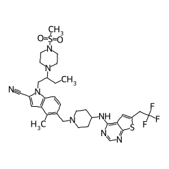 CCC(Cn1c(C#N)cc2c(C)c(CN3CCC(Nc4ncnc5sc(CC(F)(F)F)cc45)CC3)ccc21)N1CCN(S(C)(=O)=O)CC1